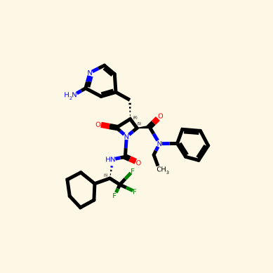 CCN(C(=O)[C@@H]1[C@@H](Cc2ccnc(N)c2)C(=O)N1C(=O)N[C@@H](C1CCCCC1)C(F)(F)F)c1ccccc1